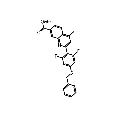 COC(=O)c1ccc2c(C)cc(-c3c(F)cc(SCc4ccccc4)cc3F)nc2c1